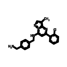 Cc1cnn2c(NCc3ccc(CN)cc3)cc(-c3ccccc3Cl)nc12